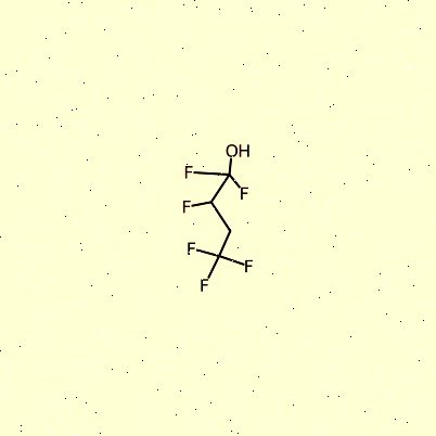 OC(F)(F)C(F)CC(F)(F)F